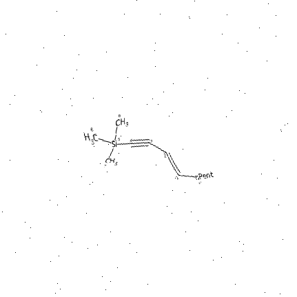 CCCCCC=CC#C[Si](C)(C)C